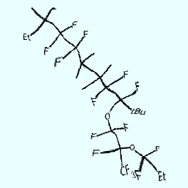 CCC(F)(F)OC(F)(C(F)(F)F)C(F)(F)OC(F)(C(C)(C)C)C(F)(F)C(C)(C)C(C)(C)C(F)(F)C(F)(F)C(C)(C)CC